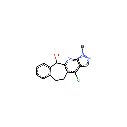 CCn1ncc2c(Cl)c3c(nc21)C(O)c1ccccc1CC3